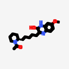 COc1ccc2c(c1)NC(O)C(CCCCC[C@H]1CCCCN1C(C)=O)=N2